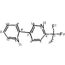 FC(F)(F)c1ccc(-c2ccccn2)cn1